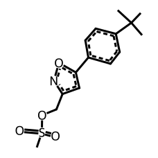 CC(C)(C)c1ccc(-c2cc(COS(C)(=O)=O)no2)cc1